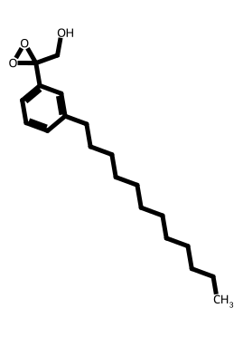 CCCCCCCCCCCCc1cccc(C2(CO)OO2)c1